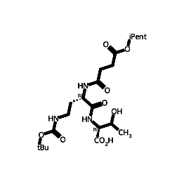 CCCC(C)OC(=O)CCC(=O)N[C@@H](CCNC(=O)OC(C)(C)C)C(=O)N[C@H](C(=O)O)C(C)O